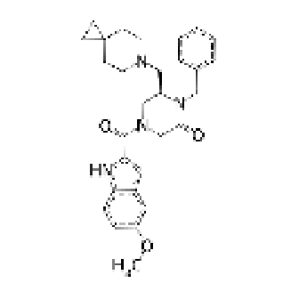 COc1ccc2[nH]c(C(=O)N3CC(=O)N(Cc4ccccc4)[C@H](CN4CCC5(CC4)CC5)C3)cc2c1